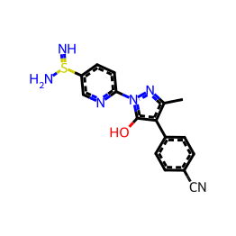 Cc1nn(-c2ccc(S(=N)N)cn2)c(O)c1-c1ccc(C#N)cc1